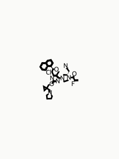 C=C(F)C(=O)N1CCN(c2nc(OCC3(CN4CCCC4)CC3)nc3c2CO[C@H](c2cccc4cccc(Cl)c24)C3)C[C@@H]1CC#N